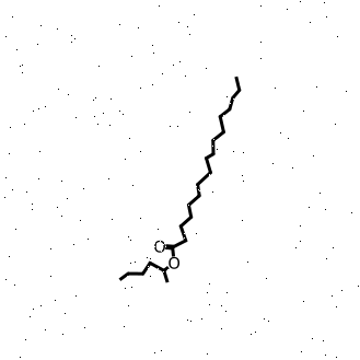 CCCCCCCCCCCCCCCCC(=O)OC(C)CCCC